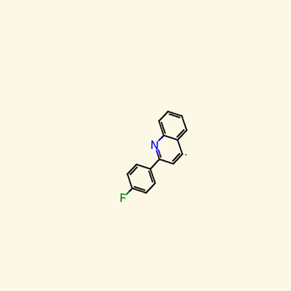 Fc1ccc(-c2c[c]c3ccccc3n2)cc1